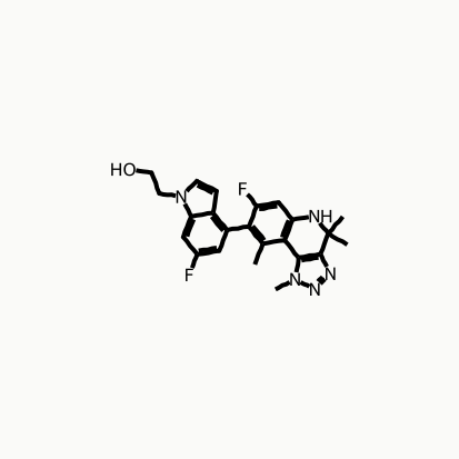 Cc1c(-c2cc(F)cc3c2ccn3CCO)c(F)cc2c1-c1c(nnn1C)C(C)(C)N2